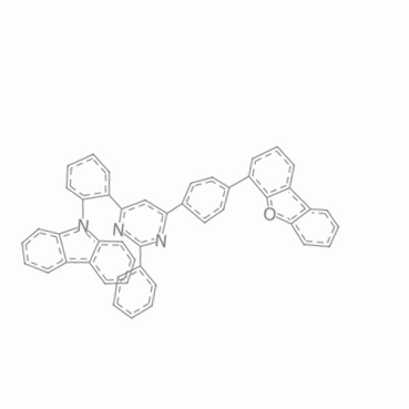 c1ccc(-c2nc(-c3ccc(-c4cccc5c4oc4ccccc45)cc3)cc(-c3ccccc3-n3c4ccccc4c4ccccc43)n2)cc1